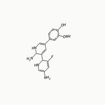 COc1cc(C2=CNC(N)C(C3NC=C(N)C=C3F)=C2)ccc1O